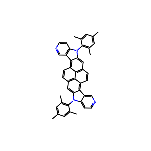 Cc1cc(C)c(-n2c3ccncc3c3c4ccc5cc6c(c7ccc(cc32)c4c57)c2cnccc2n6-c2c(C)cc(C)cc2C)c(C)c1